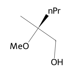 CCC[C@@](C)(CO)OC